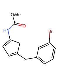 COC(=O)NC1=CC=C(Cc2cccc(Br)c2)C1